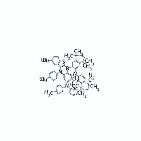 Cc1ccc(N(c2cc3c4c(c2)N(c2ccc(C(C)(C)C)cc2)c2c(sc5ccc(C(C)(C)C)cc25)B4c2cc4c(cc2N3c2ccc3c(c2)C(C)(C)CCC3(C)C)C(C)(C)CCC4(C)C)c2ccccc2C)cc1